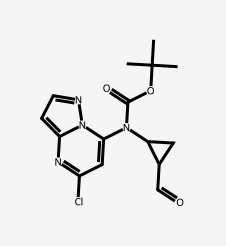 CC(C)(C)OC(=O)N(c1cc(Cl)nc2ccnn12)C1CC1C=O